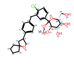 COC1(c2ccc(Cl)c(Cc3ccc(C4COC5(CCCC5)C4)cc3)c2)O[C@H](CO)[C@@H](O)[C@H](O)[C@H]1O